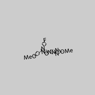 COc1ccc(-c2cn(-c3ccc(F)cc3)c(CC(=O)N3CCN(c4ncc(OC)cn4)CC3)n2)cc1